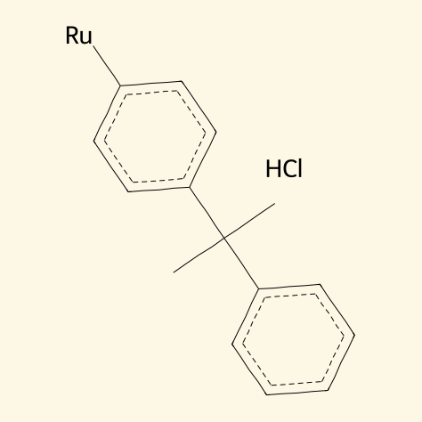 CC(C)(c1ccccc1)c1cc[c]([Ru])cc1.Cl